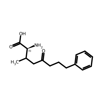 CC(CC(=O)CCCc1ccccc1)[C@H](N)C(=O)O